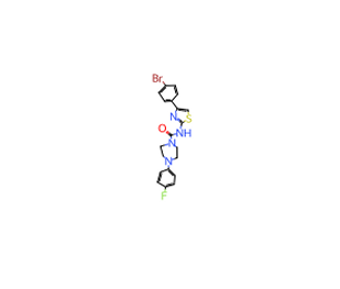 O=C(Nc1nc(-c2ccc(Br)cc2)cs1)N1CCN(c2ccc(F)cc2)CC1